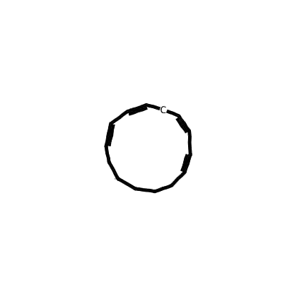 [CH]1CC=CC=CCC=CC=CCCC1